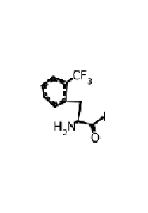 N[C@@H](Cc1ccccc1C(F)(F)F)C(=O)I